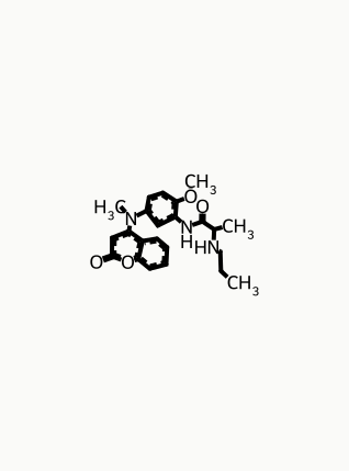 CCCNC(C)C(=O)Nc1cc(N(C)c2cc(=O)oc3ccccc23)ccc1OC